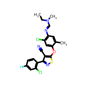 CCN(C)C=Nc1cc(C)c(Oc2snc(-c3ccc(F)cc3Cl)c2C#N)cc1Cl